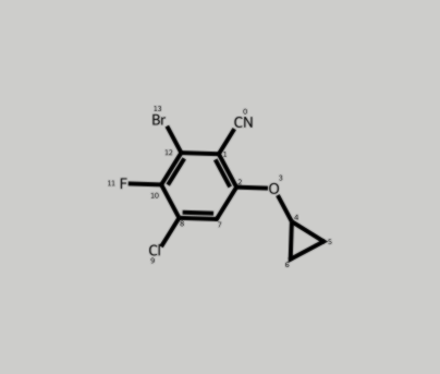 N#Cc1c(OC2CC2)cc(Cl)c(F)c1Br